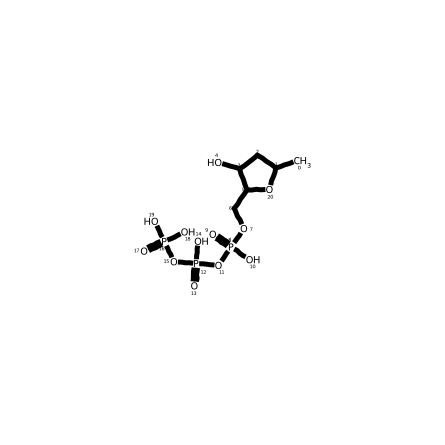 CC1CC(O)C(COP(=O)(O)OP(=O)(O)OP(=O)(O)O)O1